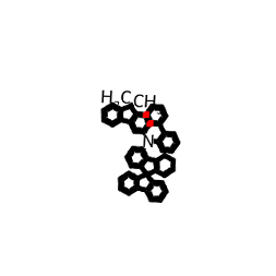 CC1(C)c2ccccc2-c2cc(N(c3ccccc3-c3ccccc3)c3cccc4c3C3=C(C=CCC3)C43c4ccccc4-c4ccccc43)ccc21